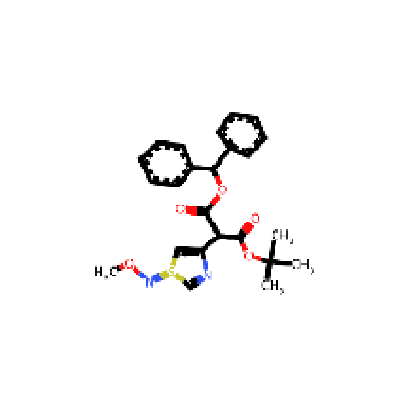 CON=S1C=NC(C(C(=O)OC(c2ccccc2)c2ccccc2)C(=O)OC(C)(C)C)=C1